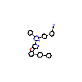 N#Cc1cccc(-c2ccc(-c3nc(-c4ccccc4)nc(-c4cc5oc6cccc(-c7ccc(-c8ccccc8)cc7)c6c5cn4)n3)cc2)c1